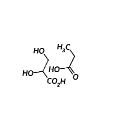 CCC(=O)O.O=C(O)C(O)CO